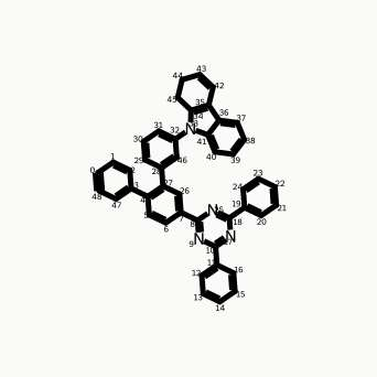 c1ccc(-c2ccc(-c3nc(-c4ccccc4)nc(-c4ccccc4)n3)cc2-c2cccc(-n3c4c(c5ccccc53)C=CCC4)c2)cc#1